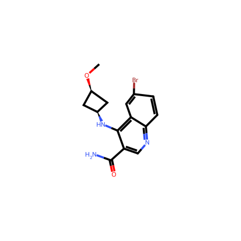 CO[C@H]1C[C@@H](Nc2c(C(N)=O)cnc3ccc(Br)cc23)C1